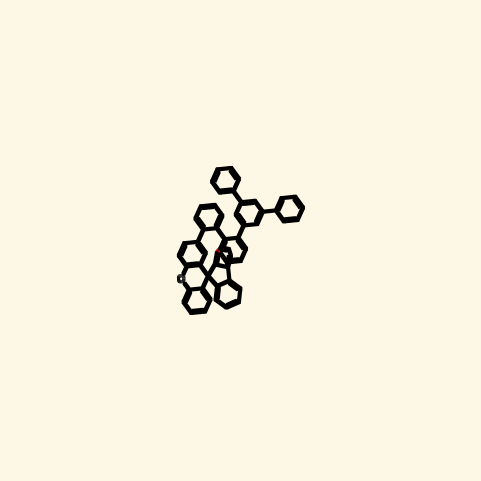 c1ccc(-c2cc(-c3ccccc3)cc(-c3ccccc3-c3ccccc3-c3ccc4c(c3)C3(c5ccccc5O4)c4ccccc4-c4ccccc43)c2)cc1